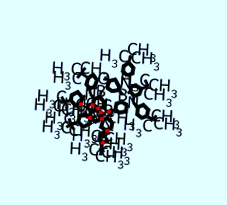 CC(C)(C)c1ccc(N2c3cc4c(cc3B3c5cc6c(cc5Oc5cc(C(C)(C)C)cc2c53)N(c2ccc(C(C)(C)C)cc2)c2cc(C(C)(C)C)cc3c2B6c2cc(C(C)(C)C)ccc2N3c2ccc(C(C)(C)C)cc2)B2c3cc(C(C)(C)C)ccc3N(c3ccc(C(C)(C)C)cc3)c3cc(C(C)(C)C)cc(c32)N4c2ccc(C(C)(C)C)cc2)cc1